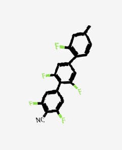 Cc1ccc(-c2cc(F)c(-c3cc(F)c(C#N)c(F)c3)c(F)c2)c(F)c1